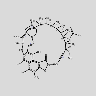 CO[C@H]1/C=C/O[C@@]2(C)Oc3c(C)c(O)c4c(O)c(c(/C=N/N5CCN(C)CC5)c(O)c4c3C2=O)NC(=O)/C(C)=C\C=C\[C@H](C)C(O)[C@@H](C)[C@@H](O)[C@@H](C)[C@H](OC(C)=O)[C@@H]1C